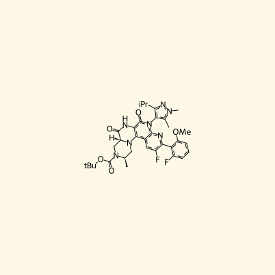 COc1cccc(F)c1-c1nc2c(cc1F)c1c(c(=O)n2-c2c(C(C)C)nn(C)c2C)NC(=O)[C@H]2CN(C(=O)OC(C)(C)C)[C@H](C)CN12